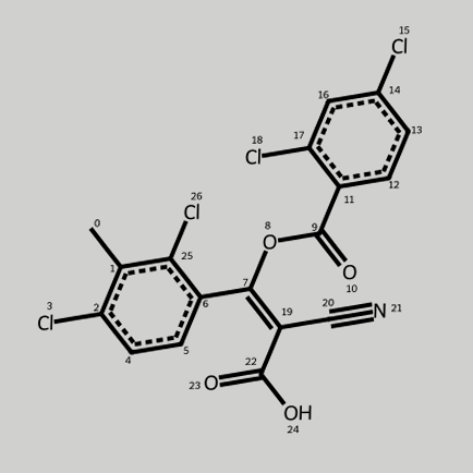 Cc1c(Cl)ccc(C(OC(=O)c2ccc(Cl)cc2Cl)=C(C#N)C(=O)O)c1Cl